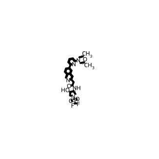 C[C@@H]1CN(c2cccc(-c3ccc4cnc(CC(=O)N[C@H]5CN(S(=O)(=O)C(F)F)C[C@@H]5O)cc4c3)n2)C[C@H](C)O1